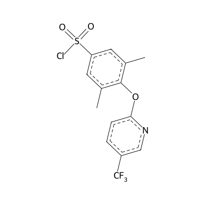 Cc1cc(S(=O)(=O)Cl)cc(C)c1Oc1ccc(C(F)(F)F)cn1